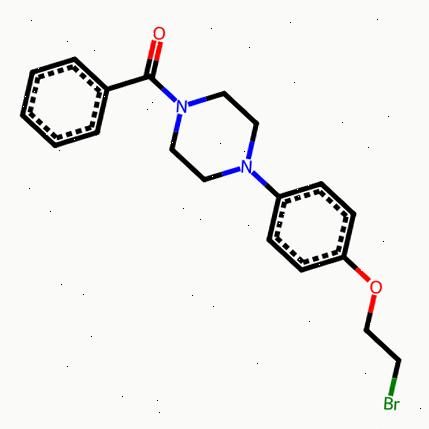 O=C(c1ccccc1)N1CCN(c2ccc(OCCBr)cc2)CC1